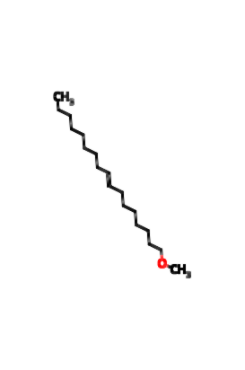 CCCCCCCC/C=C/CCCCCCCOC